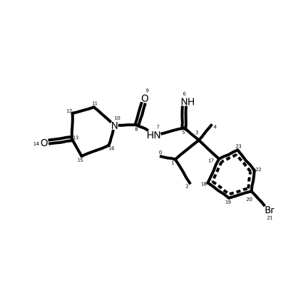 CC(C)C(C)(C(=N)NC(=O)N1CCC(=O)CC1)c1ccc(Br)cc1